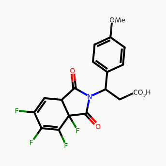 COc1ccc(C(CC(=O)O)N2C(=O)C3C=C(F)C(F)=C(F)C3(F)C2=O)cc1